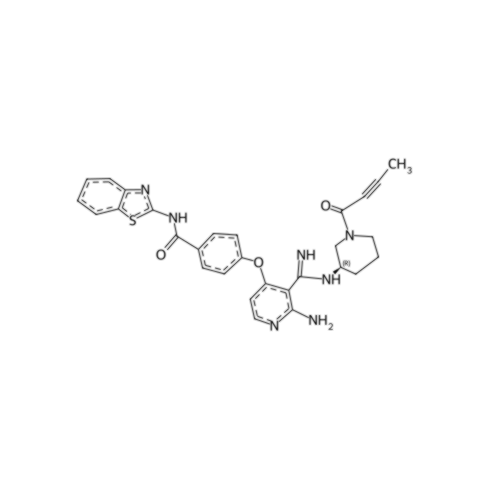 CC#CC(=O)N1CCC[C@@H](NC(=N)c2c(Oc3ccc(C(=O)Nc4nc5ccccc5s4)cc3)ccnc2N)C1